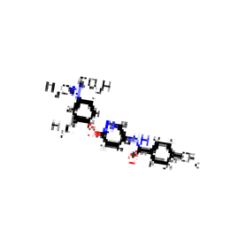 Cc1cc(N(C)C(=O)O)ccc1Oc1ccc(NC(=O)c2ccc(C(F)(F)F)cc2)cn1